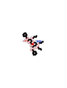 CCCCOC1[C@H](O[C@H]2OC(COC(=O)c3ccccc3)[C@@H](OCCCC)[C@H](OCCCC)C2N=[N+]=[N-])C(C(=O)OC)O[C@@H](O)[C@H]1OC(=O)c1ccccc1